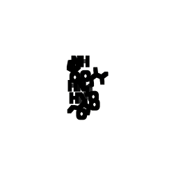 CCC1OCC(=O)C1NC(=O)[C@H](CCC(C)C(C)C)NC(=O)Oc1cc[nH]c1